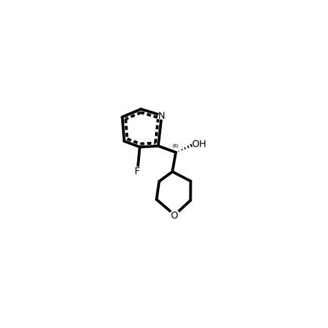 O[C@@H](c1ncccc1F)C1CCOCC1